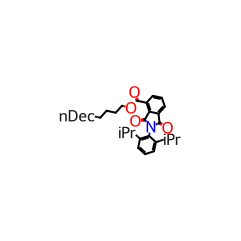 CCCCCCCCCCCCCCOC(=O)c1cccc2c1C(=O)N(c1c(C(C)C)cccc1C(C)C)C2=O